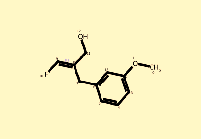 COc1cccc(C/C(=C\F)CO)c1